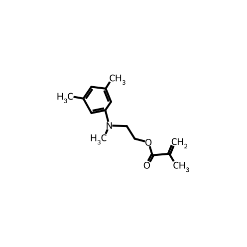 C=C(C)C(=O)OCCN(C)c1cc(C)cc(C)c1